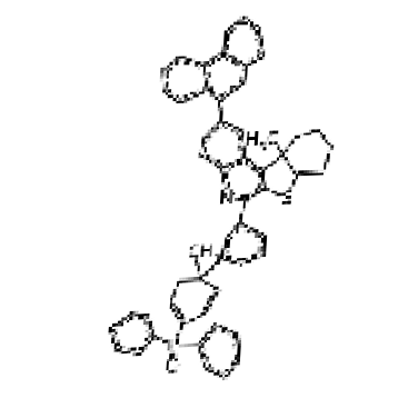 CC1(c2cccc(-c3nc4ccc(-c5cc6ccccc6c6ccccc56)cc4c4c3SC3=CCCCC34C)c2)C=CC(P(=O)(c2ccccc2)c2ccccc2)=CC1